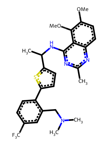 COc1ccc2nc(C)nc(NC(C)c3ccc(-c4ccc(C(F)(F)F)cc4CN(C)C)s3)c2c1OC